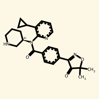 CC1(C)ON=C(c2ccc(C(=O)N(c3ncccc3C3CC3)[C@@H]3CCCNC3)cc2)C1=O